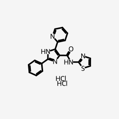 Cl.Cl.O=C(Nc1nccs1)c1nc(-c2ccccc2)[nH]c1-c1ccccn1